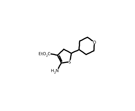 CCOC(=O)C1=C(N)SC(C2CCOCC2)C1